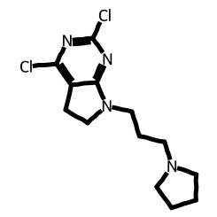 Clc1nc(Cl)c2c(n1)N(CCCN1CCCC1)CC2